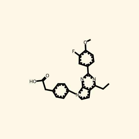 CCc1nc(-c2ccc(OC)c(F)c2)nc2c1ccn2-c1ccc(CC(=O)O)cc1